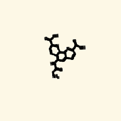 NCC(=O)Nc1cc2ccc(C(=O)O)nc2c2nc(C(=O)O)ccc12